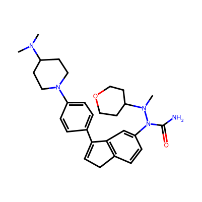 CN(C)C1CCN(c2ccc(C3=CCc4ccc(N(C(N)=O)N(C)C5CCOCC5)cc43)cc2)CC1